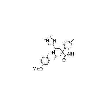 COc1ccc(CN2C(C)CC3(CC2c2cn(C)nn2)C(=O)Nc2cc(C)ccc23)cc1